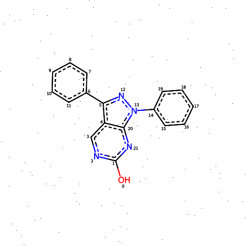 Oc1ncc2c(-c3ccccc3)nn(-c3ccccc3)c2n1